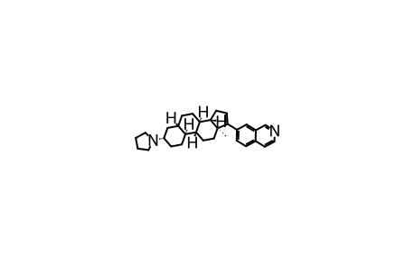 C[C@]12CC[C@H]3[C@@H](CC[C@H]4C[C@@H](N5CCCC5)CC[C@@H]43)[C@@H]1CC=C2c1ccc2ccncc2c1